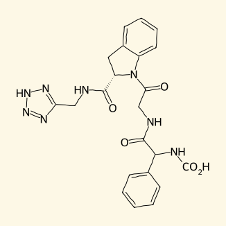 O=C(O)NC(C(=O)NCC(=O)N1c2ccccc2C[C@H]1C(=O)NCc1nn[nH]n1)c1ccccc1